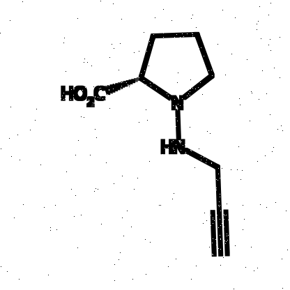 C#CCNN1CCC[C@H]1C(=O)O